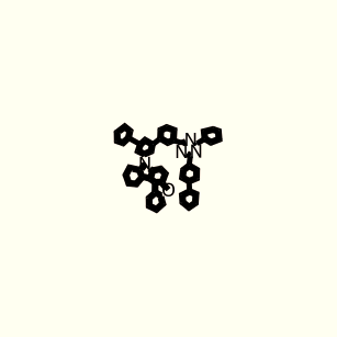 c1ccc(-c2ccc(-c3nc(-c4ccccc4)nc(-c4cccc(-c5cc(-c6ccccc6)cc(-n6c7ccccc7c7c8c(ccc76)oc6ccccc68)c5)c4)n3)cc2)cc1